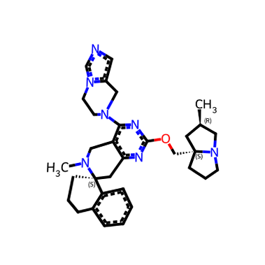 C[C@H]1CN2CCC[C@@]2(COc2nc3c(c(N4CCn5cncc5C4)n2)CN(C)[C@@]2(CCCc4ccccc42)C3)C1